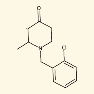 CC1[CH]C(=O)CCN1Cc1ccccc1Cl